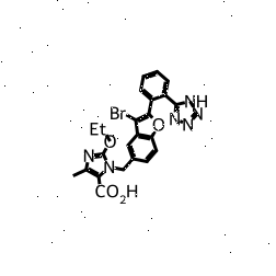 CCOc1nc(C)c(C(=O)O)n1Cc1ccc2oc(-c3ccccc3-c3nnn[nH]3)c(Br)c2c1